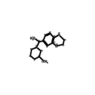 CC1CCCN(C(C)c2ccc3c(c2)OCCO3)C1